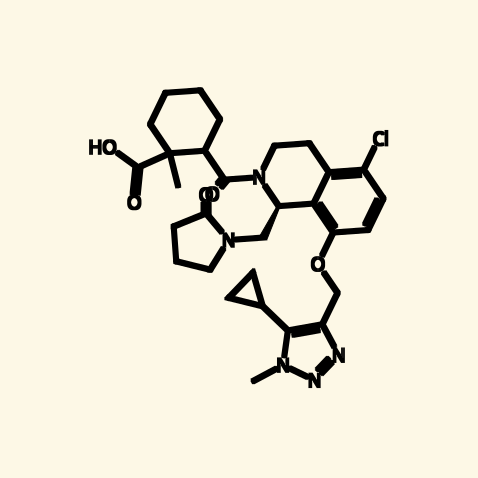 Cn1nnc(COc2ccc(Cl)c3c2[C@@H](CN2CCCC2=O)N(C(=O)C2CCCCC2(C)C(=O)O)CC3)c1C1CC1